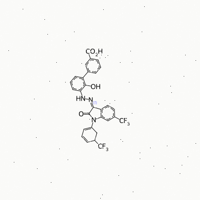 O=C(O)c1cccc(-c2cccc(N/N=C3\C(=O)N(C4=CC=CC(C(F)(F)F)C4)c4cc(C(F)(F)F)ccc43)c2O)c1